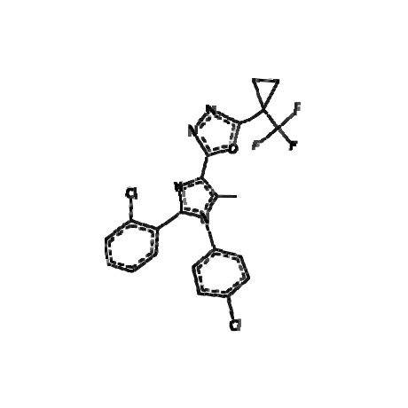 Cc1c(-c2nnc(C3(C(F)(F)F)CC3)o2)nc(-c2ccccc2Cl)n1-c1ccc(Cl)cc1